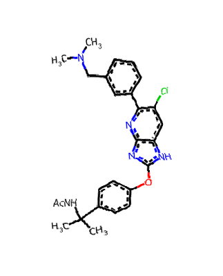 CC(=O)NC(C)(C)c1ccc(Oc2nc3nc(-c4cccc(CN(C)C)c4)c(Cl)cc3[nH]2)cc1